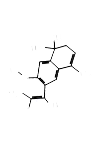 CCOc1cc2c(cc1/C(C)=C(/F)C(=O)O)C(C(C)(C)C)=CCC2(C)C